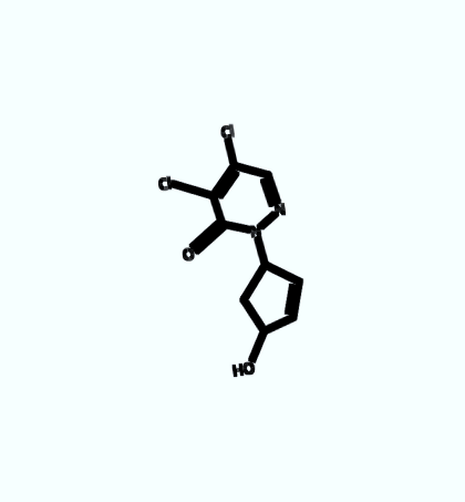 O=c1c(Cl)c(Cl)cnn1C1C=CC(O)C1